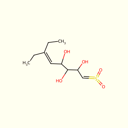 CCC(=CC(O)C(O)C(O)C=S(=O)=O)CC